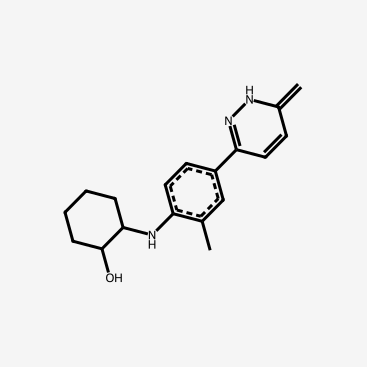 C=C1C=CC(c2ccc(NC3CCCCC3O)c(C)c2)=NN1